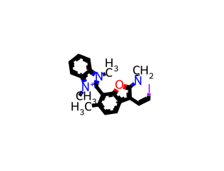 C=Nc1oc2c(-c3n(C)c4ccccc4[n+]3C)c(C)ccc2c1/C=C\I